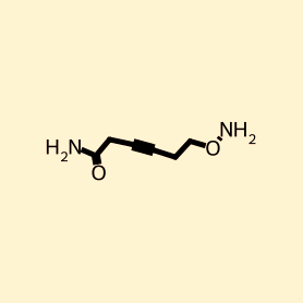 NOCCC#CCC(N)=O